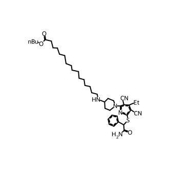 CCCCOC(=O)CCCCCCCCCCCCCCCNC1CCN(c2nc(SC(C(N)=O)c3ccccc3)c(C#N)c(CC)c2C#N)CC1